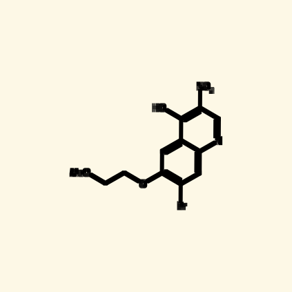 COCCOc1cc2c(O)c([N+](=O)[O-])cnc2cc1Br